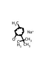 Cc1ccc(C(C)(C)C)c([O-])c1.[Na+]